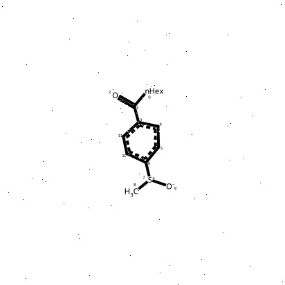 CCCCCCC(=O)c1ccc([S+](C)[O-])cc1